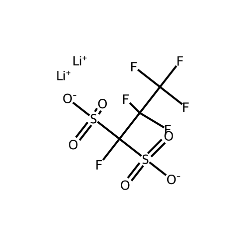 O=S(=O)([O-])C(F)(C(F)(F)C(F)(F)F)S(=O)(=O)[O-].[Li+].[Li+]